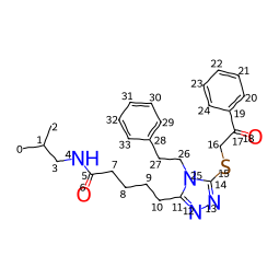 CC(C)CNC(=O)CCCCc1nnc(SCC(=O)c2ccccc2)n1CCc1ccccc1